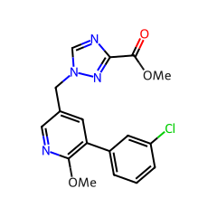 COC(=O)c1ncn(Cc2cnc(OC)c(-c3cccc(Cl)c3)c2)n1